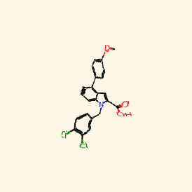 COc1ccc(-c2cccc3c2cc(C(=O)O)n3Cc2ccc(Cl)c(Cl)c2)cc1